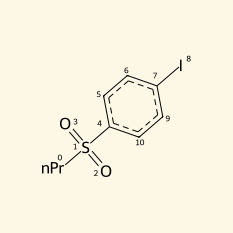 CCCS(=O)(=O)c1ccc(I)cc1